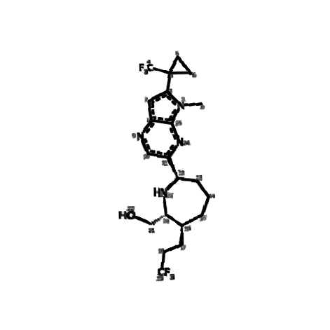 Cn1c(C2(C(F)(F)F)CC2)cc2ncc([C@H]3CCC[C@@H](CCC(F)(F)F)[C@H](CO)N3)nc21